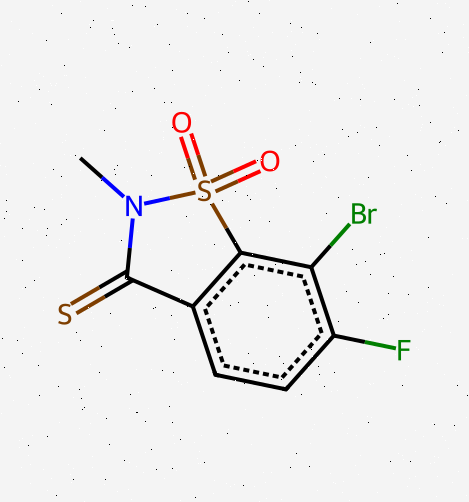 CN1C(=S)c2ccc(F)c(Br)c2S1(=O)=O